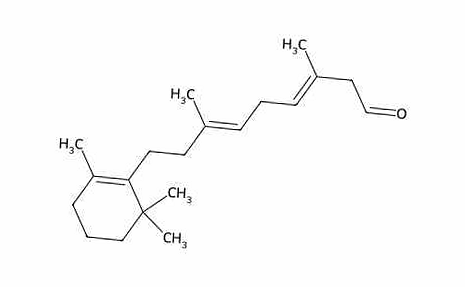 CC1=C(CC/C(C)=C/C/C=C(\C)CC=O)C(C)(C)CCC1